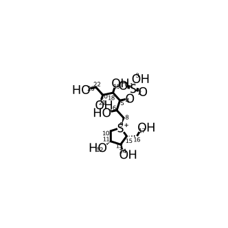 O=S(=O)(O)OC(C(O)C[S@+]1C[C@@H](O)[C@H](O)[C@H]1CO)C(O)C(O)CO